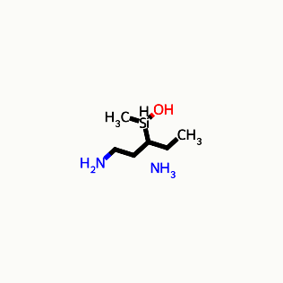 CCC(CCN)[SiH](C)O.N